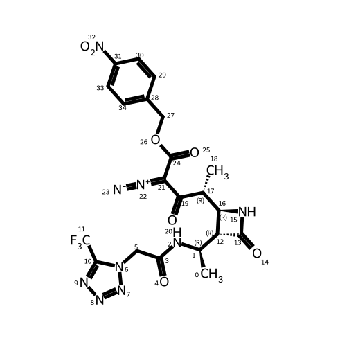 C[C@@H](NC(=O)Cn1nnnc1C(F)(F)F)[C@H]1C(=O)N[C@@H]1[C@@H](C)C(=O)C(=[N+]=[N-])C(=O)OCc1ccc([N+](=O)[O-])cc1